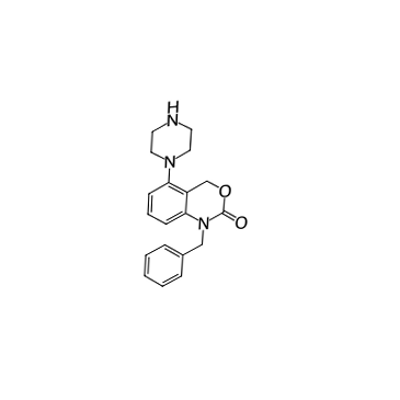 O=C1OCc2c(N3CCNCC3)cccc2N1Cc1ccccc1